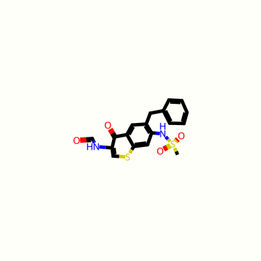 CS(=O)(=O)Nc1cc2scc(NC=O)c(=O)c2cc1Cc1ccccc1